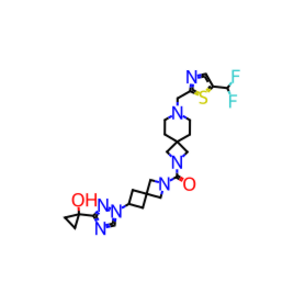 O=C(N1CC2(CCN(Cc3ncc(C(F)F)s3)CC2)C1)N1CC2(CC(n3cnc(C4(O)CC4)n3)C2)C1